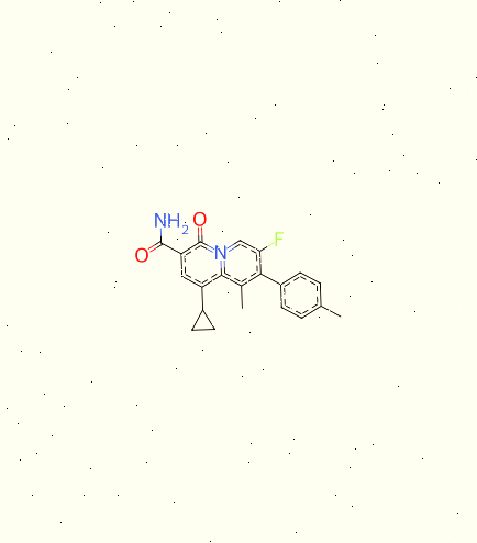 Cc1ccc(-c2c(F)cn3c(=O)c(C(N)=O)cc(C4CC4)c3c2C)cc1